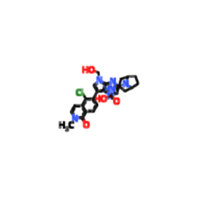 Cn1ccc2c(Cl)c(-c3cn(CO)c4nc(N5C6CCC5CC(NC(=O)O)C6)cnc34)ccc2c1=O